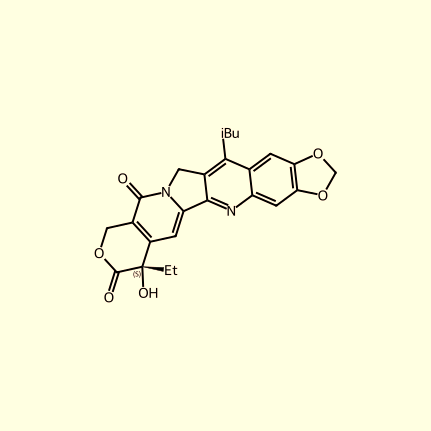 CCC(C)c1c2c(nc3cc4c(cc13)OCO4)-c1cc3c(c(=O)n1C2)COC(=O)[C@]3(O)CC